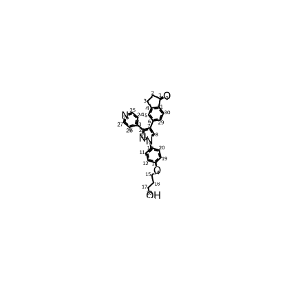 O=C1CCc2cc(-c3cn(-c4ccc(OCCCO)cc4)nc3-c3ccncc3)ccc21